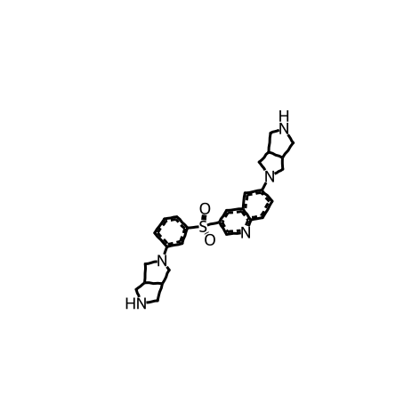 O=S(=O)(c1cccc(N2CC3CNCC3C2)c1)c1cnc2ccc(N3CC4CNCC4C3)cc2c1